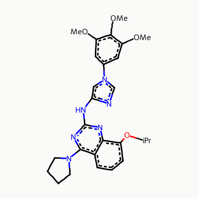 COc1cc(-n2cnc(Nc3nc(N4CCCC4)c4cccc(OC(C)C)c4n3)c2)cc(OC)c1OC